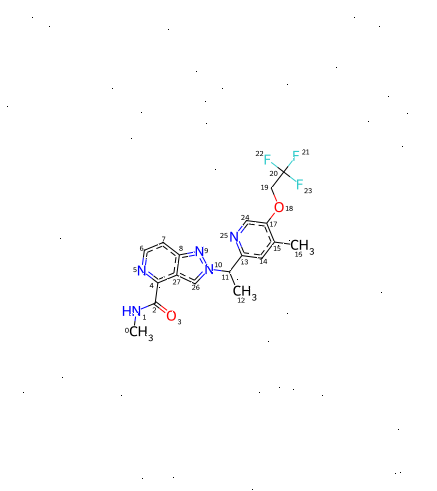 CNC(=O)c1nccc2nn(C(C)c3cc(C)c(OCC(F)(F)F)cn3)cc12